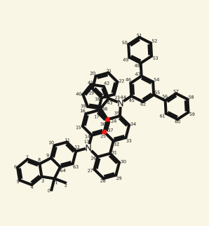 CC1(C)c2ccccc2-c2ccc(N(c3ccc(-c4ccccc4)cc3)c3ccccc3-c3ccc4c(c3)c3ccccc3n4-c3cc(-c4ccccc4)cc(-c4ccccc4)c3)cc21